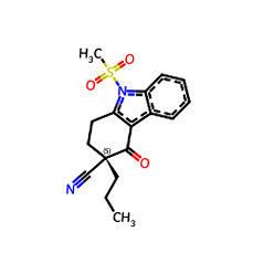 CCC[C@@]1(C#N)CCc2c(c3ccccc3n2S(C)(=O)=O)C1=O